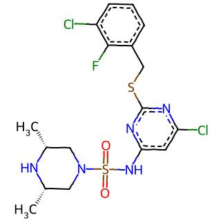 C[C@@H]1CN(S(=O)(=O)Nc2cc(Cl)nc(SCc3cccc(Cl)c3F)n2)C[C@H](C)N1